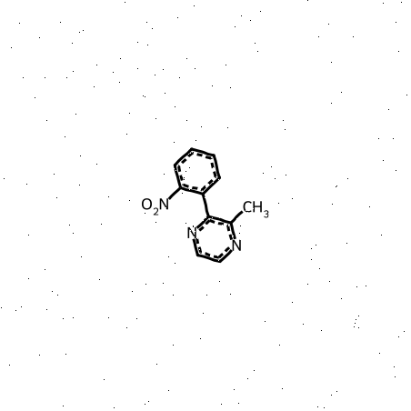 Cc1nccnc1-c1ccccc1[N+](=O)[O-]